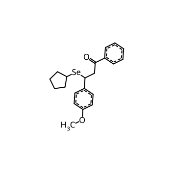 COc1ccc(C(CC(=O)c2ccccc2)[Se]C2CCCC2)cc1